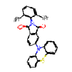 CC(C)c1cccc(C(C)C)c1N1C(=O)c2ccc(N3c4ccccc4Sc4ccccc43)cc2C1=O